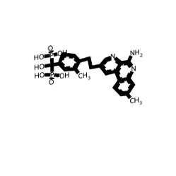 Cc1ccc2c(c1)nc(N)c1ncc(CCc3ccc(C(O)(P(=O)(O)O)P(=O)(O)O)cc3C)cc12